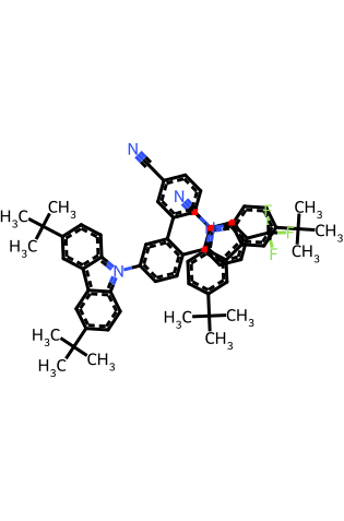 CC(C)(C)c1ccc2c(c1)c1cc(C(C)(C)C)ccc1n2-c1ccc(-c2ccc(C(F)(F)F)cc2C#N)c(-c2cc(C#N)ccc2-n2c3ccc(C(C)(C)C)cc3c3cc(C(C)(C)C)ccc32)c1